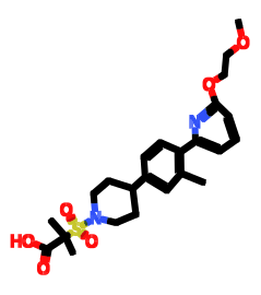 COCCOc1cccc(-c2ccc(C3CCN(S(=O)(=O)C(C)(C)C(=O)O)CC3)cc2C)n1